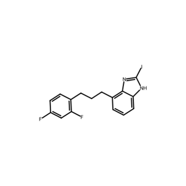 Fc1ccc(CCCc2cccc3[nH]c(I)nc23)c(F)c1